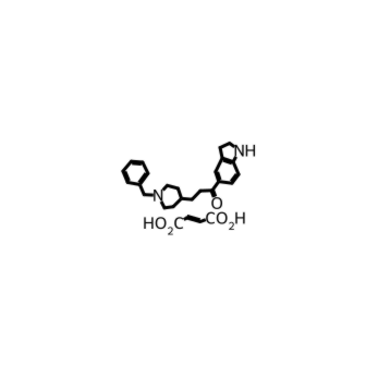 O=C(CCC1CCN(Cc2ccccc2)CC1)c1ccc2c(c1)CCN2.O=C(O)/C=C/C(=O)O